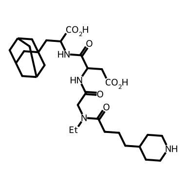 CCN(CC(=O)NC(CC(=O)O)C(=O)NC(CC12CC3CC(CC(C3)C1)C2)C(=O)O)C(=O)CCCC1CCNCC1